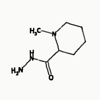 CN1CCCCC1C(=O)NN